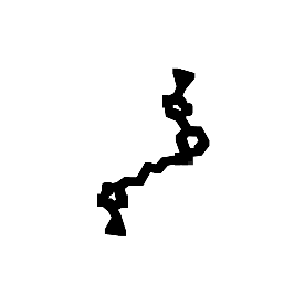 c1cc(NCCCCCc2nc(C3CC3)no2)cc(-c2cnc(C3CC3)o2)c1